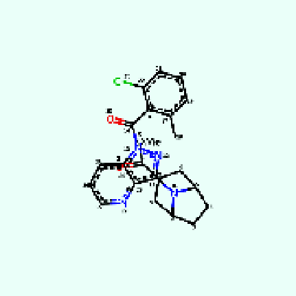 COC(=O)C1CC2CCC(C1)N2c1nn(C(=O)c2c(C)cccc2Cl)c2cccnc12